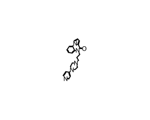 O=c1c2cccn2c2ccccc2n1CCCN1CCN(c2ccncc2)CC1